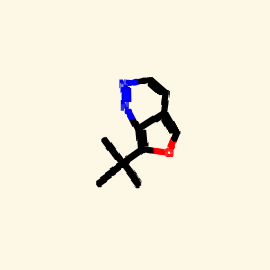 CC(C)(C)c1occ2ccnnc12